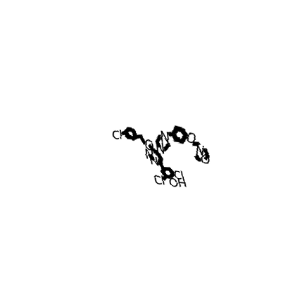 Oc1c(Cl)cc(-c2cc(N3CCN(Cc4ccc(OCCN5CCOCC5)cc4)CC3)c(OCCc3ccc(Cl)cc3)nn2)cc1Cl